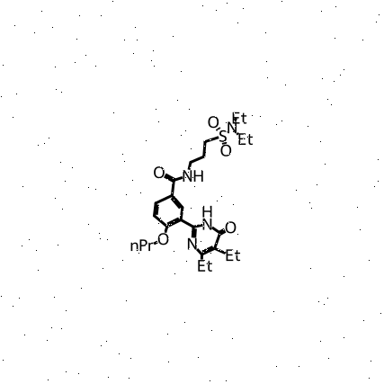 CCCOc1ccc(C(=O)NCCCS(=O)(=O)N(CC)CC)cc1-c1nc(CC)c(CC)c(=O)[nH]1